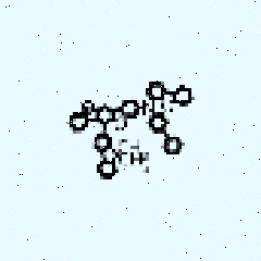 CC1(C)c2ccccc2-c2ccc(-c3c4oc5cc(N(c6ccc(-c7ccccc7)cc6)c6cccc7c6oc6ccccc67)ccc5c4cc4oc5ccccc5c34)cc21